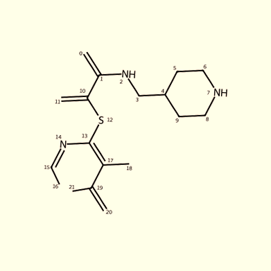 C=C(NCC1CCNCC1)C(=C)SC(/N=C\C)=C(\C)C(=C)C